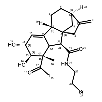 C=C1C[C@]23C[C@H]1CC[C@H]2C1=C[C@@H](O)[C@H](O)[C@@](C)(C(=O)I)C1[C@@H]3C(=O)NCCBr